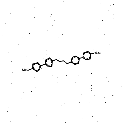 COc1ccc(-c2ccc(CCCCc3ccc(-c4ccc(OC)cc4)cc3)cc2)cc1